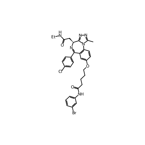 CCNC(=O)C[C@@H]1N=C(c2ccc(Cl)cc2)c2cc(OCCCCC(=O)Nc3cccc(Br)c3)ccc2-n2c(C)nnc21